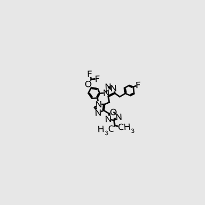 CC(C)c1noc(-c2ncn3c2Cc2c(Cc4ccc(F)cc4)nnn2-c2cc(OC(F)F)ccc2-3)n1